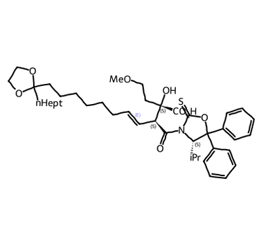 CCCCCCCC1(CCCCCC/C=C/[C@H](C(=O)N2C(=S)OC(c3ccccc3)(c3ccccc3)[C@@H]2C(C)C)[C@@](O)(CCOC)C(=O)O)OCCO1